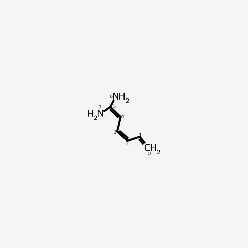 C=C/C=C\C=C(N)N